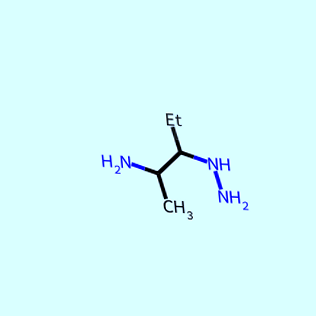 CCC(NN)C(C)N